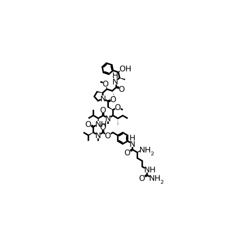 CC[C@H](C)C([C@@H](CC(=O)N1CCC[C@H]1[C@H](OC)[C@@H](C)C(=O)N[C@H](C)[C@@H](O)c1ccccc1)OC)N(C)C(=O)[C@@H](NC(=O)[C@H](C(C)C)N(C)C(=O)OCc1ccc(NC(=O)[C@@H](N)CCCNC(N)=O)cc1)C(C)C